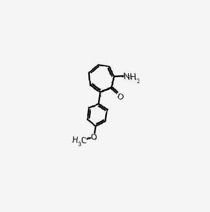 COc1ccc(-c2ccccc(N)c2=O)cc1